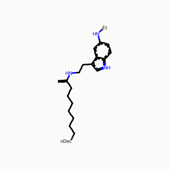 C=C(CCCCCCCCCCCCCCCCC)NCCc1c[nH]c2ccc(NCC)cc12